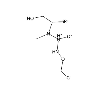 CC(C)[C@@H](CO)N(C)[NH+]([O-])NOCCl